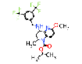 COc1ccc2c(n1)C(NCc1cc(C(F)(F)F)cc(C(F)(F)F)c1)CC(C)N2C(=O)OC(C)C